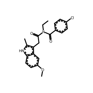 CCN(C(=O)Cc1c(C)[nH]c2ccc(OC)cc12)C(=O)c1ccc(Cl)cc1